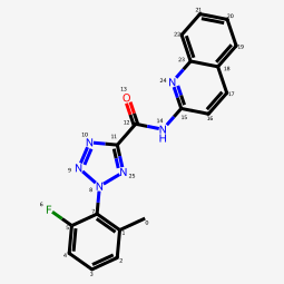 Cc1cccc(F)c1-n1nnc(C(=O)Nc2ccc3ccccc3n2)n1